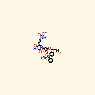 C=CCO[C@H]1C[C@H](n2cc(CC=CNC(=O)C(F)(F)F)c(=O)[nH]c2=O)O[C@@H]1CO[Si](c1ccccc1)(c1ccccc1)C(C)(C)C